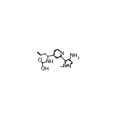 C=CC[C@H](NC(=O)O)c1ccnc(-c2c(N)cnn2C)c1